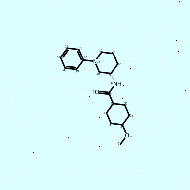 COC1CCC(C(=O)N[C@H]2CCCN(c3ccccc3)C2)CC1